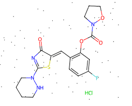 Cl.O=C1N=C(N2CCCCN2)SC1=Cc1ccc(F)cc1OC(=O)N1CCCO1